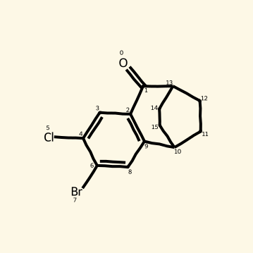 O=C1c2cc(Cl)c(Br)cc2C2CCC1CC2